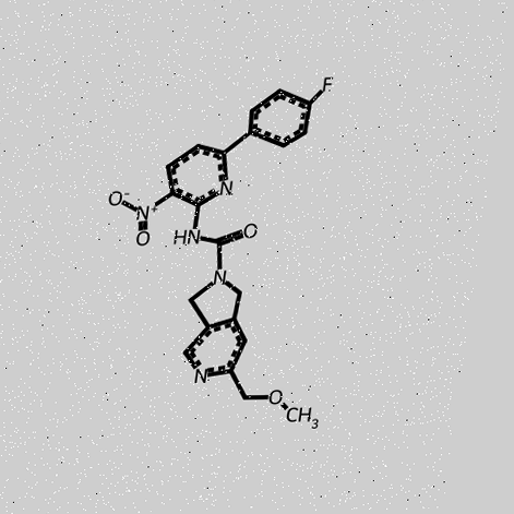 COCc1cc2c(cn1)CN(C(=O)Nc1nc(-c3ccc(F)cc3)ccc1[N+](=O)[O-])C2